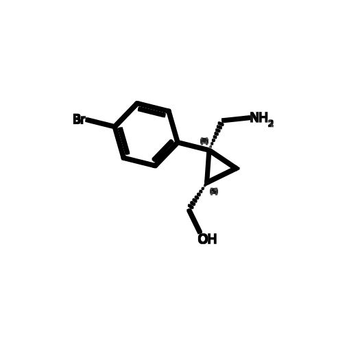 NC[C@]1(c2ccc(Br)cc2)C[C@@H]1CO